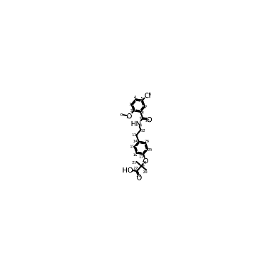 COc1ccc(Cl)cc1C(=O)NCCc1ccc(OC(C)(C)C(=O)O)cc1